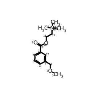 COCc1cccc(C(=O)OCC[N+](C)(C)C)c1